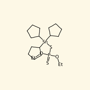 CCOP(=S)(OCC)[S][Sn]([CH]1CCCC1)([CH]1CCCC1)[CH]1CCCC1